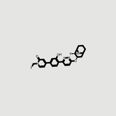 O=c1cc(-c2ccc(-c3ccc(O[C@@H]4CC5CCCC(N5)[C@@H]4F)nn3)c(O)c2)ccn1CF